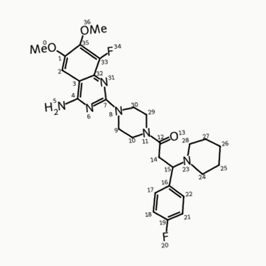 COc1cc2c(N)nc(N3CCN(C(=O)CC(c4ccc(F)cc4)N4CCCCC4)CC3)nc2c(F)c1OC